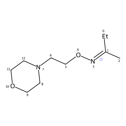 CC/C(C)=N\OCCN1CCOCC1